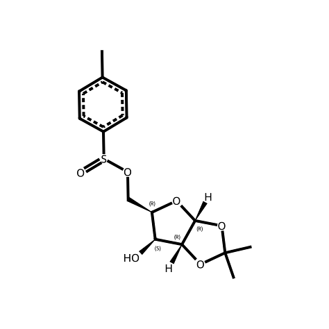 Cc1ccc(S(=O)OC[C@H]2O[C@@H]3OC(C)(C)O[C@@H]3[C@H]2O)cc1